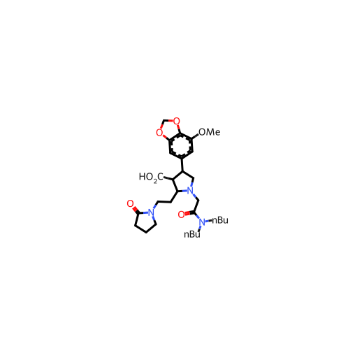 CCCCN(CCCC)C(=O)CN1CC(c2cc(OC)c3c(c2)OCO3)C(C(=O)O)C1CCN1CCCC1=O